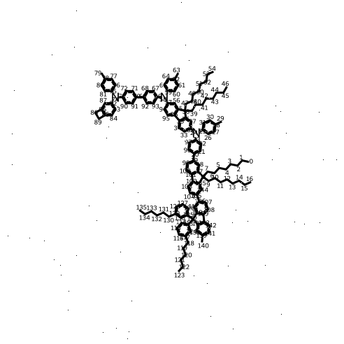 CCCCCCCCC1(CCCCCCCC)c2cc(-c3ccc(N(c4ccc(C)cc4)c4ccc5c(c4)C(CCCCCCCC)(CCCCCCCC)c4cc(N(c6ccc(C)cc6)c6ccc(-c7ccc(N(c8ccc(C)cc8)c8ccc9c(c8)CC9)cc7)cc6)ccc4-5)cc3)ccc2-c2ccc(-c3ccc4c(c3)C(c3cccc(CCCCCC)c3)(c3cccc(CCCCCC)c3)c3cc(C)ccc3-4)cc21